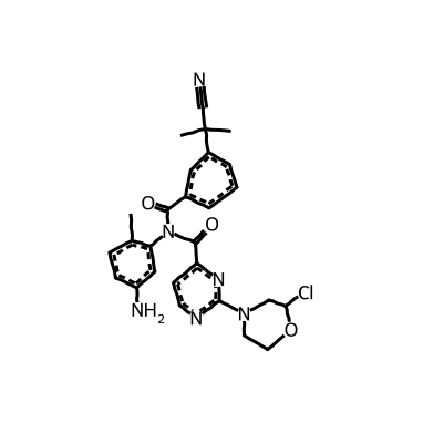 Cc1ccc(N)cc1N(C(=O)c1cccc(C(C)(C)C#N)c1)C(=O)c1ccnc(N2CCOC(Cl)C2)n1